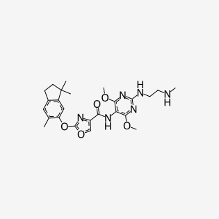 CNCCNc1nc(OC)c(NC(=O)c2coc(Oc3cc4c(cc3C)CCC4(C)C)n2)c(OC)n1